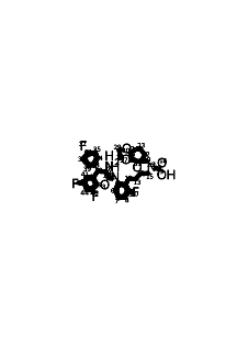 N[C@H](C(=O)Nc1cccc(F)c1CCC1CN(C(=O)O)CC2(CCCC3(C2)OCCO3)O1)[C@@H](c1ccc(F)cc1)c1cc(F)cc(F)c1